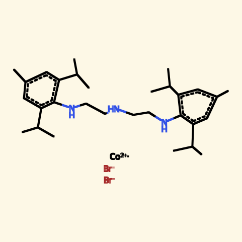 Cc1cc(C(C)C)c(NCCNCCNc2c(C(C)C)cc(C)cc2C(C)C)c(C(C)C)c1.[Br-].[Br-].[Co+2]